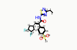 CCc1nsc(NC(=O)/C(=C/[C@H]2C[C@@H](F)[C@@H](F)C2)c2ccc(S(C)(=O)=O)cc2)n1